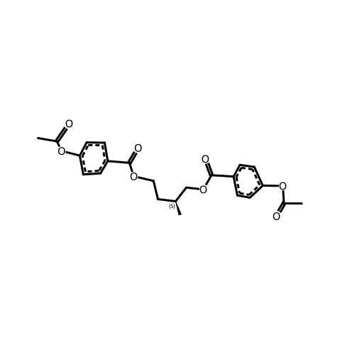 CC(=O)Oc1ccc(C(=O)OCC[C@H](C)COC(=O)c2ccc(OC(C)=O)cc2)cc1